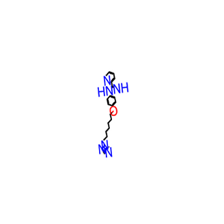 N=C(Nc1ccc(OCCCCCCCn2cncn2)cc1)c1ccccn1